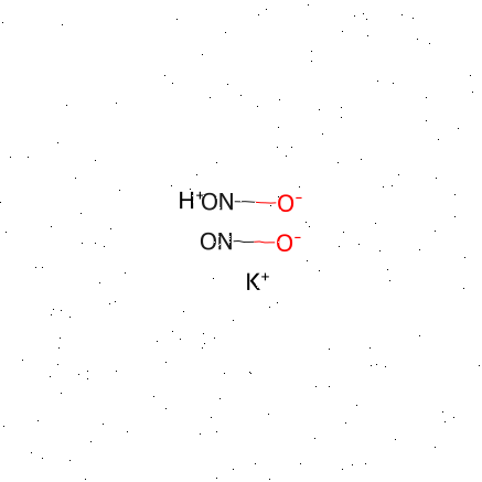 O=N[O-].O=N[O-].[H+].[K+]